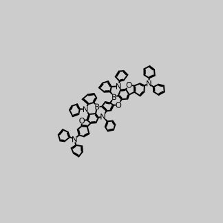 c1ccc(N(c2ccccc2)c2ccc3c(c2)oc2c4c5c(cc23)Oc2cc3c(cc2B5c2ccccc2N4c2ccccc2)B2c4ccccc4N(c4ccccc4)c4c2c(cc2c4oc4cc(N(c5ccccc5)c5ccccc5)ccc42)N3c2ccccc2)cc1